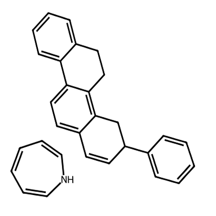 C1=CC(c2ccccc2)Cc2c1ccc1c2CCc2ccccc2-1.C1=CC=CNC=C1